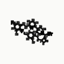 Cc1ccc(CCC2CCC2C(C(C)C)N2CCC(c3cccc(CCc4cc(F)cc(C)c4F)n3)CC2)c(C)c1